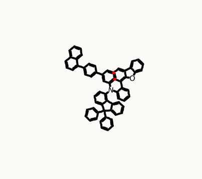 c1ccc(C2(c3ccccc3)c3ccccc3-c3c(N(c4cccc(-c5ccc(-c6cccc7ccccc67)cc5)c4)c4ccccc4-c4cccc5c4oc4ccccc45)cccc32)cc1